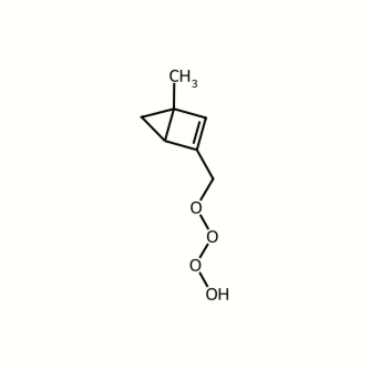 CC12C=C(COOOO)C1C2